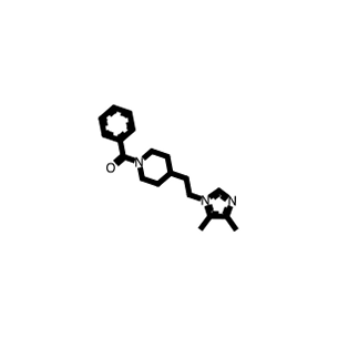 Cc1ncn(CCC2CCN(C(=O)c3ccccc3)CC2)c1C